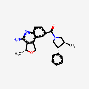 C[C@@H]1CN(C(=O)c2ccc3nc(N)c4c(c3c2)CO[C@@H]4C)C[C@H]1c1ccccc1